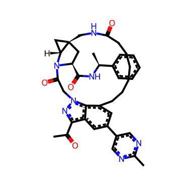 CC(=O)c1nn2c3c(cc(-c4cnc(C)nc4)cc13)CCCCCCC(=O)NC[C@@]13C[C@@H](C(=O)N[C@@H](C)c4ccccc4)N(C(=O)C2)[C@@H]1C3